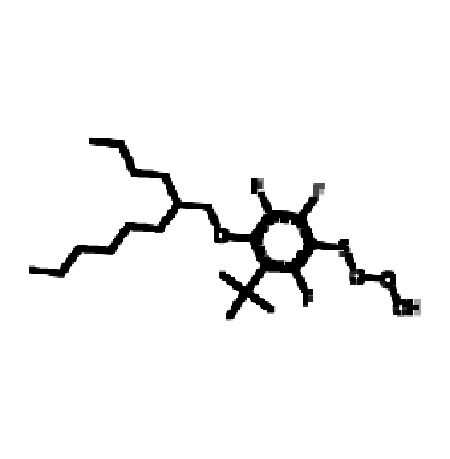 CCCCCCC(CCCC)COc1c(F)c(F)c(SOOO)c(F)c1C(C)(C)C